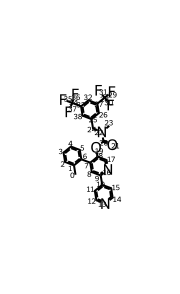 Cc1ccccc1-c1cc(-c2ccncc2)ncc1OC(=O)N(C)Cc1cc(C(F)(F)F)cc(C(F)(F)F)c1